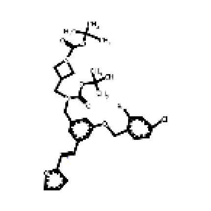 CC(C)(C)OC(=O)N(Cc1cc(/C=C/c2ccco2)cc(OCc2ccc(Cl)cc2Br)c1)CC1CN(C(=O)OC(C)(C)C)C1